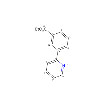 CCOC(=O)c1cccc(-c2ccccn2)c1